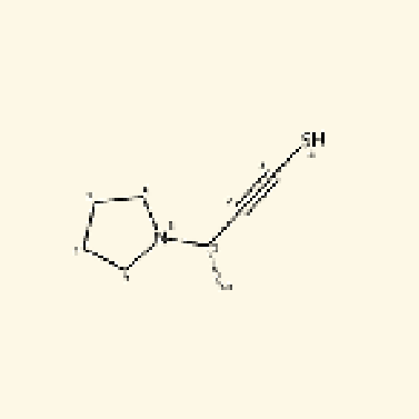 C[C@@H](C#CS)N1CCCC1